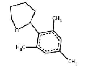 Cc1cc(C)[c]([Al]2[CH2]CCC[O]2)c(C)c1